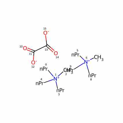 CCC[N+](C)(CCC)CCC.CCC[N+](C)(CCC)CCC.O=C([O-])C(=O)[O-]